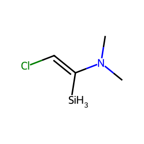 CN(C)C([SiH3])=CCl